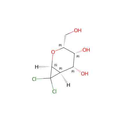 OC[C@H]1O[C@H]2[C@@H]([C@@H](O)[C@H]1O)C2(Cl)Cl